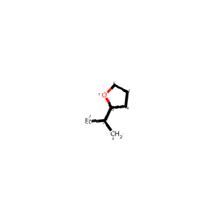 [CH2]C(CC)C1CCCO1